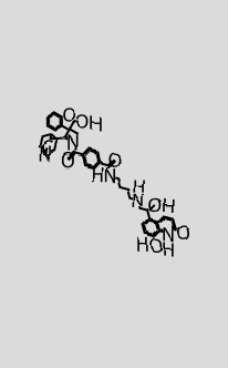 O=C(NCCCCNCC(O)c1ccc(O)c2[nH]c(=O)ccc12)c1ccc(C(=O)N2CC(C(=O)O)(c3ccccc3)C2C2CN3CCC2CC3)cc1